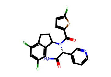 NC(=O)[C@@H](c1cccnc1)N(C(=O)c1ccc(F)s1)[C@@H]1CCc2c(F)cc(Cl)cc21